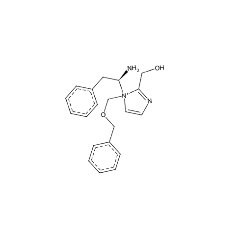 N[C@H](Cc1ccccc1)[N+]1(COCc2ccccc2)C=CN=C1CO